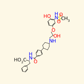 CS(=O)(=O)Nc1cc(OC[C@@H](O)CNC2CCC(c3ccc(C(=O)N[C@@H](Cc4ccccc4)C(=O)O)cc3)CC2)ccc1O